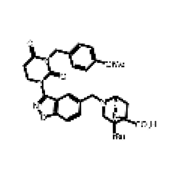 COc1ccc(CN2C(=O)CCN(c3noc4ccc(CN5CC6(C(C)(C)C)CCC5CN6C(=O)O)cc34)C2=O)cc1